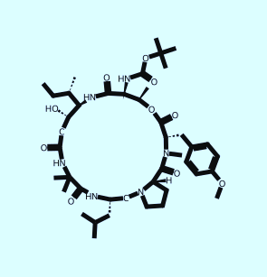 CC[C@H](C)[C@H]1NC(=O)[C@@H](NC(=O)OC(C)(C)C)[C@@H](C)OC(=O)[C@H](Cc2ccc(OC)cc2)N(C)C(=O)[C@@H]2CCCN2C[C@H](CC(C)C)NC(=O)C(C)(C)NC(=O)C[C@@H]1O